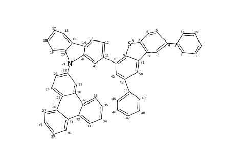 c1ccc(-c2ccc3sc4c(-c5ccc6c7ccccc7n(-c7ccc8c9ccccc9c9ccccc9c8c7)c6c5)cc(-c5ccccc5)cc4c3c2)cc1